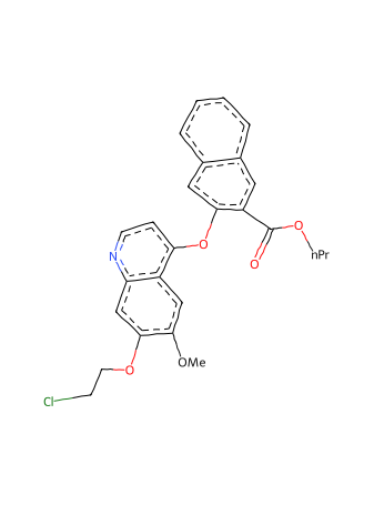 CCCOC(=O)c1cc2ccccc2cc1Oc1ccnc2cc(OCCCl)c(OC)cc12